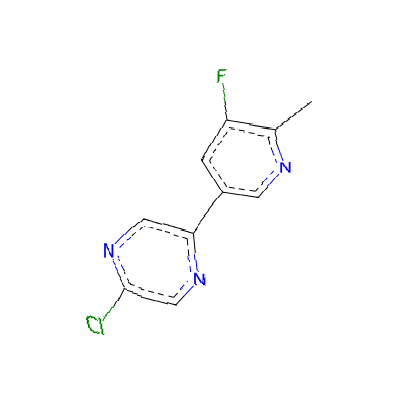 Cc1ncc(-c2cnc(Cl)cn2)cc1F